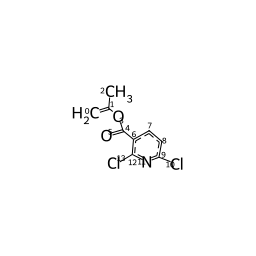 C=C(C)OC(=O)c1ccc(Cl)nc1Cl